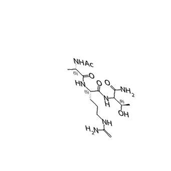 C=C(N)NCCC[C@H](NC(=O)[C@H](C)NC(C)=O)C(=O)NC(C(N)=O)[C@@H](C)O